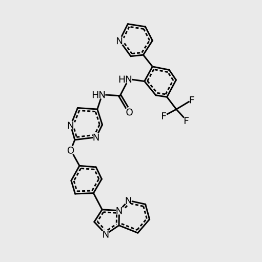 O=C(Nc1cnc(Oc2ccc(-c3cnc4cccnn34)cc2)nc1)Nc1cc(C(F)(F)F)ccc1-c1cccnc1